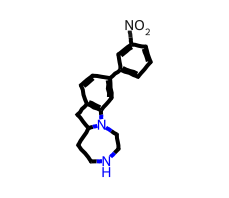 O=[N+]([O-])c1cccc(-c2ccc3c(c2)N2CCNCCC2C3)c1